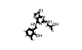 CCn1cnc2c(NCc3cccc(C)c3O)nc(NCC(C)O)nc21